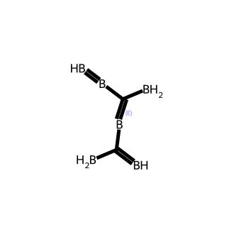 B=B/C(B)=B/C(=B)B